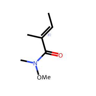 C/C=C(\C)C(=O)N(C)OC